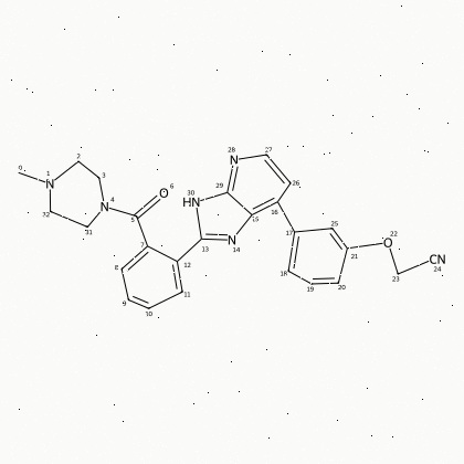 CN1CCN(C(=O)c2ccccc2-c2nc3c(-c4cccc(OCC#N)c4)ccnc3[nH]2)CC1